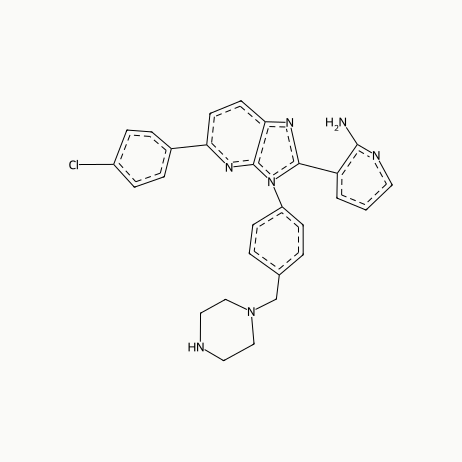 Nc1ncccc1-c1nc2ccc(-c3ccc(Cl)cc3)nc2n1-c1ccc(CN2CCNCC2)cc1